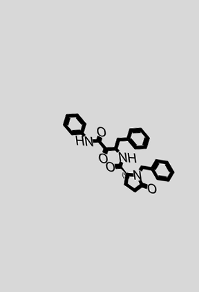 O=C(Nc1ccccc1)C(=O)C(Cc1ccccc1)NC(=O)[C@@H]1CCC(=O)N1Cc1ccccc1